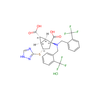 Cl.O=C(O)[C@H]1[C@H]2[C@@H]1[C@@](C(=O)O)(N(Cc1ccccc1C(F)(F)F)Cc1ccccc1C(F)(F)F)C[C@@H]2Sc1nc[nH]n1